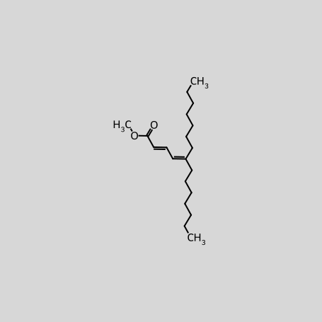 CCCCCCCC(=CC=CC(=O)OC)CCCCCCC